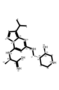 CC(C)c1cnn2c(N[C@H](C)C(=N)S)cc(NC[C@H]3CCNC[C@@H]3O)nc12